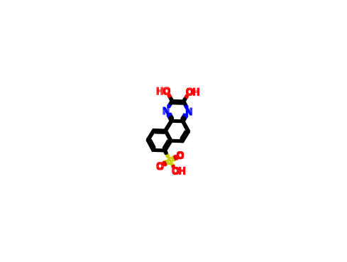 O=S(=O)(O)c1cccc2c1ccc1nc(O)c(O)nc12